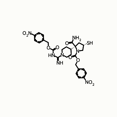 N=C(NC(=O)OCc1ccc([N+](=O)[O-])cc1)N1CCC([C@]2(C(N)=O)C[C@H](S)CN2C(=O)OCc2ccc([N+](=O)[O-])cc2)CC1